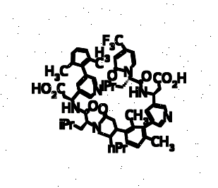 CCCC1CN([C@@H](CC(C)C)C(=O)N[C@@H](CC(=O)O)c2cncc(-c3c(C)cccc3C)c2)C(=O)CC1c1ccc(C)c(-c2cncc([C@H](CC(=O)O)NC(=O)[C@H](CC(C)C)n3ccc(C(F)(F)F)cc3=O)c2)c1C